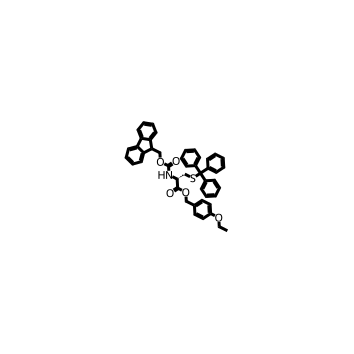 CCOc1ccc(COC(=O)[C@@H](CSC(c2ccccc2)(c2ccccc2)c2ccccc2)NC(=O)OCC2c3ccccc3-c3ccccc32)cc1